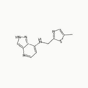 Cc1cnc(CNc2ccnc3c[nH]nc23)s1